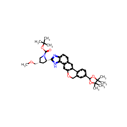 COC[C@H]1C[C@@H](c2nc3ccc4cc5c(cc4c3[nH]2)OCc2cc(C3OC(C)(C)C(C)(C)O3)ccc2-5)N(C(=O)OC(C)(C)C)C1